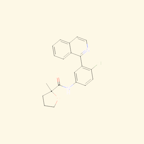 CC1(C(=O)Nc2ccc(Cl)c(-c3nccc4ccccc34)c2)CCCO1